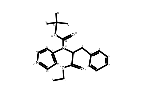 CCOC(=O)C(Cc1ccccc1)N(C(=O)OC(C)(C)C)c1ccncc1